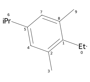 C[CH]c1c(C)cc(C(C)C)cc1C